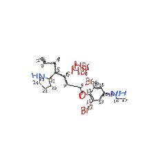 Br.Br.C=CCC(CCCOc1c(Br)cc(NCC)cc1Br)C1CCCN1